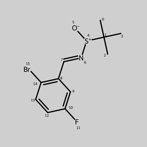 CC(C)(C)[S+]([O-])/N=C/c1cc(F)ccc1Br